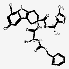 CCC(C)[C@H](NC(=O)OCc1ccccc1)C(=O)N[C@]1(C(=O)N[C@H](c2nc(C)no2)C(C)CC)CCc2[nH]c3c(Cl)cc(Cl)cc3c2C1